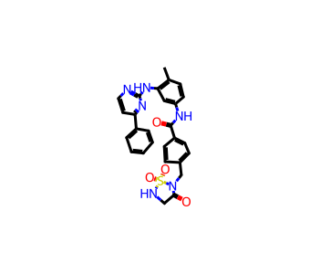 Cc1ccc(NC(=O)c2ccc(CN3C(=O)CNS3(=O)=O)cc2)cc1Nc1nccc(-c2ccccc2)n1